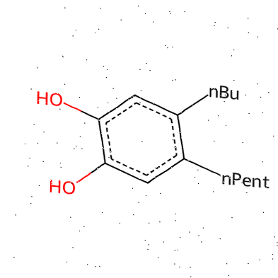 CCCCCc1cc(O)c(O)cc1CCCC